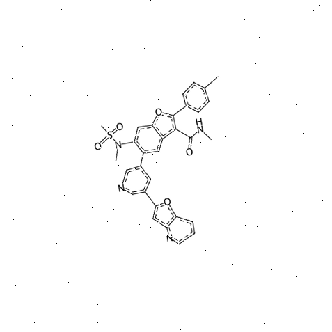 CNC(=O)c1c(-c2ccc(C)cc2)oc2cc(N(C)S(C)(=O)=O)c(-c3cncc(-c4cc5ncccc5o4)c3)cc12